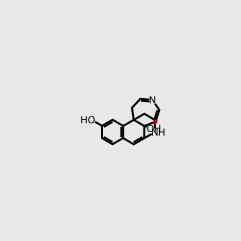 Oc1ccc2c(c1)C13CC=NC=CC1(O)C(=C2)NCC3